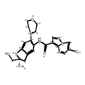 C[C@@]1(CO)Cc2cc(NC(=O)c3cnn4cc(Cl)cnc34)c(N3CCOCC3)cc2O1